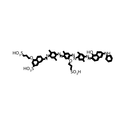 Cc1cc(N=Nc2cc(OCCCS(=O)(=O)O)c(N=Nc3cc(C)c(N=Nc4ccc5cc(Nc6ccccc6)ccc5c4O)cc3C)cc2C)c(C)cc1N=Nc1ccc2c(OCCCS(=O)(=O)O)cc(S(=O)(=O)O)cc2c1